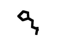 CSCC[C]1CCCC1